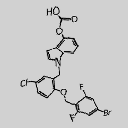 O=C(O)Oc1cccc2c1ccn2Cc1cc(Cl)ccc1OCc1c(F)cc(Br)cc1F